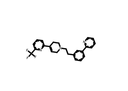 FC(F)(F)c1cccc(C2=CCN(CCc3cccc(-c4ccccn4)c3)CC2)n1